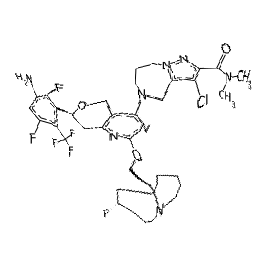 CN(C)C(=O)c1nn2c(c1Cl)CN(c1nc(OC[C@@]34CCCN3C[C@H](F)C4)nc3c1CO[C@H](c1c(F)c(N)cc(F)c1C(F)(F)F)C3)CCC2